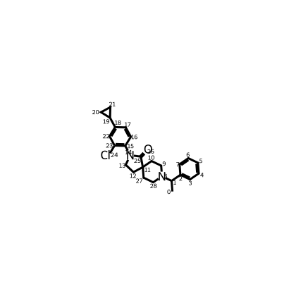 CC(c1ccccc1)N1CCC2(CCN(c3ccc(C4CC4)cc3Cl)C2=O)CC1